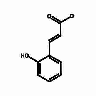 [O]C(=O)/C=C/c1ccccc1O